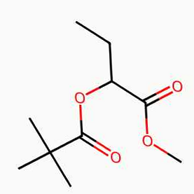 CCC(OC(=O)C(C)(C)C)C(=O)OC